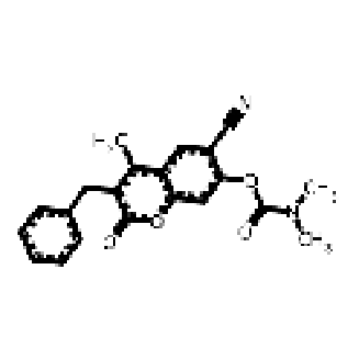 Cc1c(Cc2ccccc2)c(=O)oc2cc(OC(=O)N(C)C)c(C#N)cc12